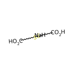 O=C(O)CCCCCCCCCCCSCCSCCCCCCCCCCCC(=O)O.[NaH]